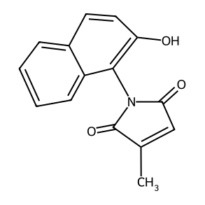 CC1=CC(=O)N(c2c(O)ccc3ccccc23)C1=O